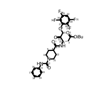 CC(C)COC(=O)C[C@H](NC(=O)C1CCN(C(=O)Nc2ccccc2)CC1)C(=O)COc1c(F)c(F)cc(F)c1F